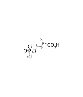 CC(CCOP(=O)(Cl)Cl)C(=O)O